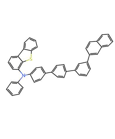 c1ccc(N(c2ccc(-c3ccc(-c4cccc(-c5ccc6ccccc6c5)c4)cc3)cc2)c2cccc3c2sc2ccccc23)cc1